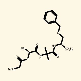 CCOC(=O)[C@H](COCc1ccccc1)NC(=O)C(C)(C)NC(=O)[C@@H](SC(=O)COC)C(C)(C)C